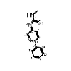 CNC(=S)N=c1ccn(-c2ccccc2)nc1